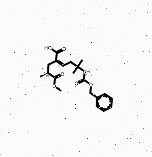 COC(=O)[C@@H](C)C/C(=C/CC(C)(C)NC(=O)OCc1ccccc1)C(=O)O